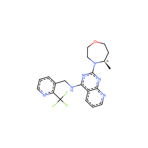 C[C@@H]1CCOCCN1c1nc(NCc2cccnc2C(F)(F)F)c2cccnc2n1